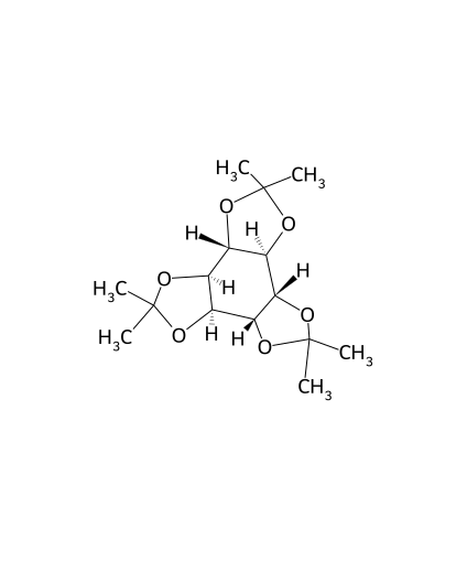 CC1(C)O[C@H]2[C@@H]3OC(C)(C)O[C@@H]3[C@H]3OC(C)(C)O[C@H]3[C@@H]2O1